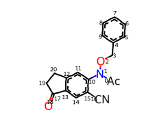 CC(=O)N(OCc1ccccc1)c1cc2c(cc1C#N)C(=O)CC2